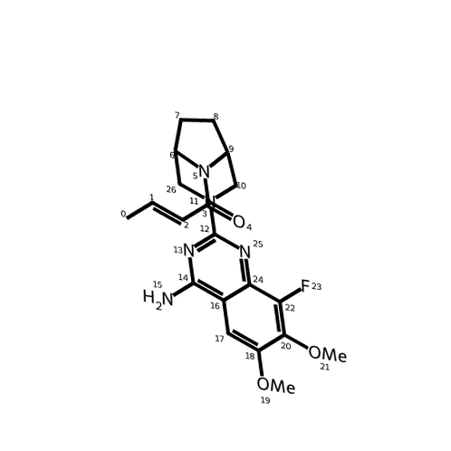 C/C=C/C(=O)N1C2CCC1CN(c1nc(N)c3cc(OC)c(OC)c(F)c3n1)C2